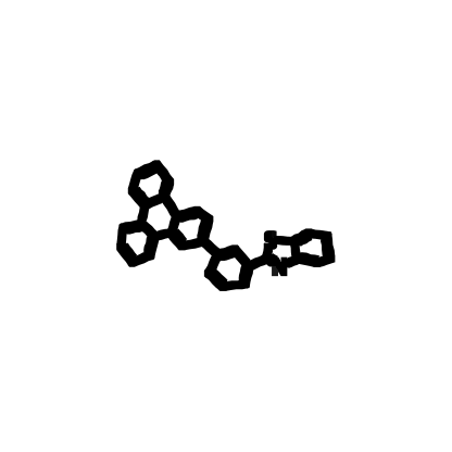 c1cc(-c2ccc3c4ccccc4c4ccccc4c3c2)cc(-c2nc3ccccc3s2)c1